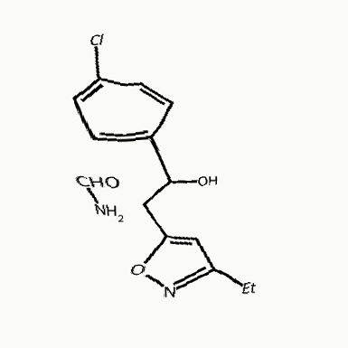 CCc1cc(CC(O)c2ccc(Cl)cc2)on1.NC=O